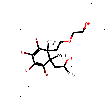 CC(O)CC1(C(=O)O)C(Br)=C(Br)C(Br)=C(Br)C1(CCOCCO)C(=O)O